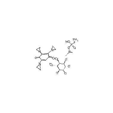 CN(C)OP(=O)(O)F.Cl[C@H]1[C@H](Cl)[C@@H](Cl)[C@@H](Cl)[C@H](Cl)[C@H]1Cl.O=C1C=C(N2CC2)C(=O)C(N2CC2)=C1N1CC1.P